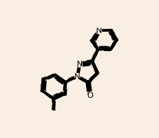 Cc1cccc(N2N=C(c3cccnc3)CC2=O)c1